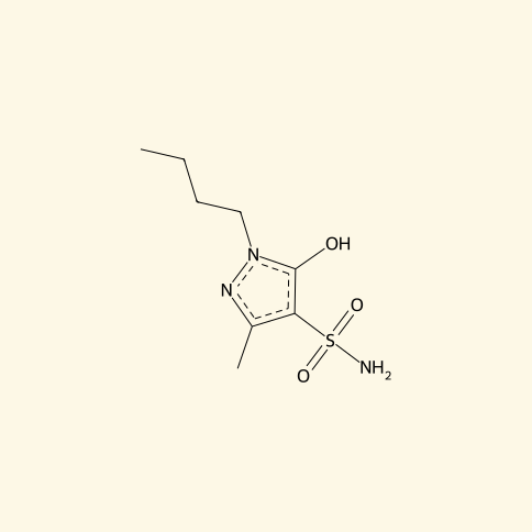 CCCCn1nc(C)c(S(N)(=O)=O)c1O